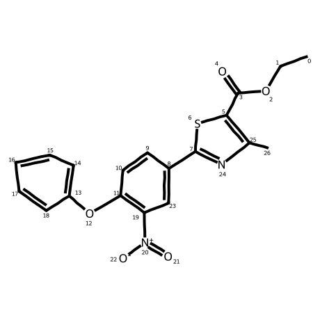 CCOC(=O)c1sc(-c2ccc(Oc3ccccc3)c([N+](=O)[O-])c2)nc1C